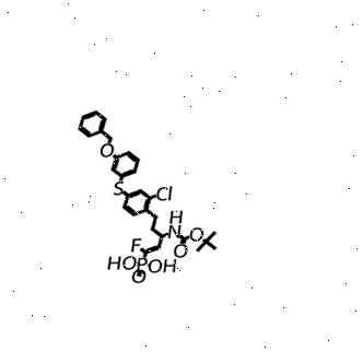 CC(C)(C)OC(=O)NC(C=C(F)P(=O)(O)O)CCc1ccc(Sc2cccc(OCc3ccccc3)c2)cc1Cl